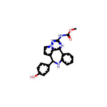 COC(=O)Nc1nc2c3c(ccn3n1)C(c1ccc(O)cc1)Nc1ccccc1-2